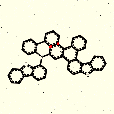 c1ccc(-c2ccccc2N(c2ccc3c4ccccc4c4c(ccc5oc6ccccc6c54)c3c2)c2cccc3c2oc2ccccc23)cc1